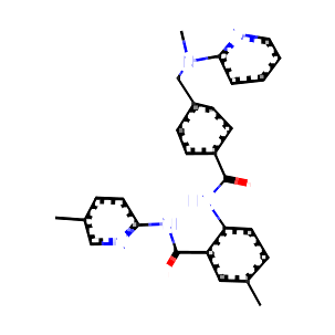 Cc1ccc(NC(=O)c2cc(C)ccc2NC(=O)c2ccc(CN(C)c3ccccn3)cc2)nc1